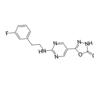 O=c1[nH]nc(-c2cnc(NCCc3cccc(F)c3)nc2)o1